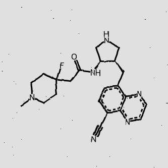 CN1CCC(F)(CC(=O)N[C@H]2CNC[C@H]2Cc2ccc(C#N)c3nccnc23)CC1